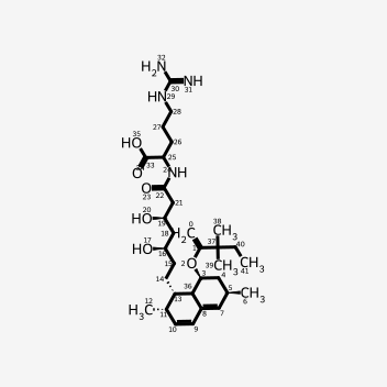 C=C(O[C@H]1C[C@@H](C)C=C2C=C[C@H](C)[C@H](CC[C@@H](O)C[C@@H](O)CC(=O)NC(CCCNC(=N)N)C(=O)O)C21)C(C)(C)CC